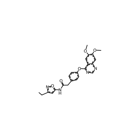 CCc1cc(NC(=O)Cc2ccc(Oc3ncnc4cc(OC)c(OC)cc34)cc2)on1